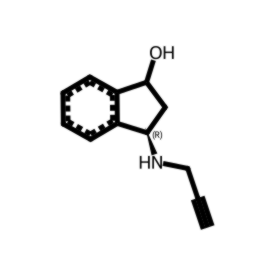 C#CCN[C@@H]1CC(O)c2ccccc21